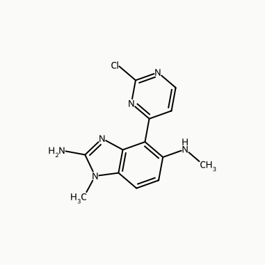 CNc1ccc2c(nc(N)n2C)c1-c1ccnc(Cl)n1